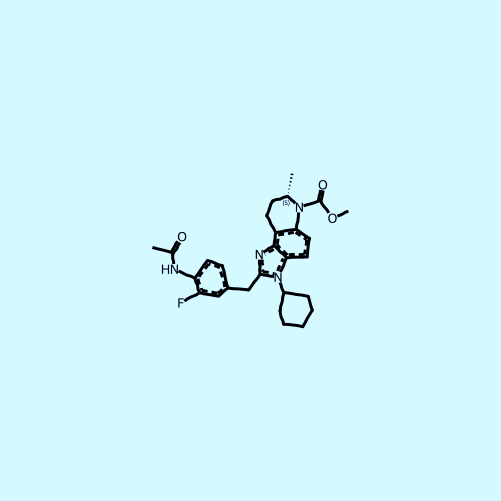 COC(=O)N1c2ccc3c(nc(Cc4ccc(NC(C)=O)c(F)c4)n3C3CCCCC3)c2CC[C@@H]1C